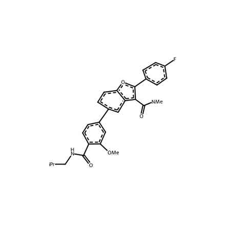 CNC(=O)c1c(-c2ccc(F)cc2)oc2ccc(-c3ccc(C(=O)NCC(C)C)c(OC)c3)cc12